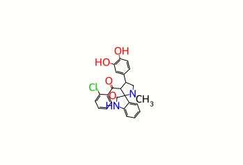 CN1CC(c2ccc(O)c(O)c2)C(C(=O)c2ccccc2Cl)C12C(=O)Nc1ccccc12